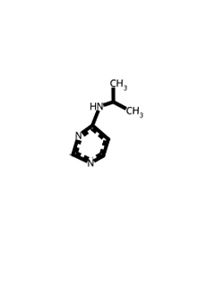 CC(C)Nc1ccn[c]n1